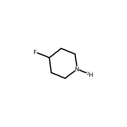 [2H]N1CCC(F)CC1